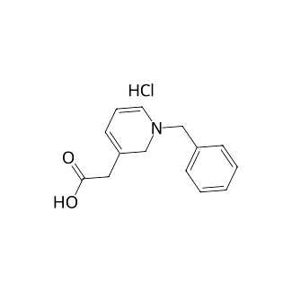 Cl.O=C(O)CC1=CC=CN(Cc2ccccc2)C1